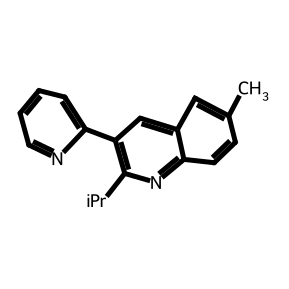 Cc1ccc2nc(C(C)C)c(-c3ccccn3)cc2c1